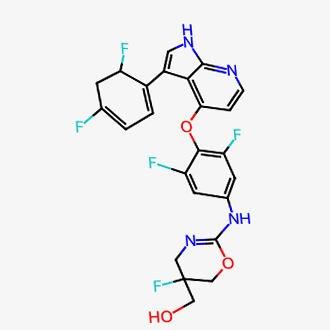 OCC1(F)CN=C(Nc2cc(F)c(Oc3ccnc4[nH]cc(C5=CC=C(F)CC5F)c34)c(F)c2)OC1